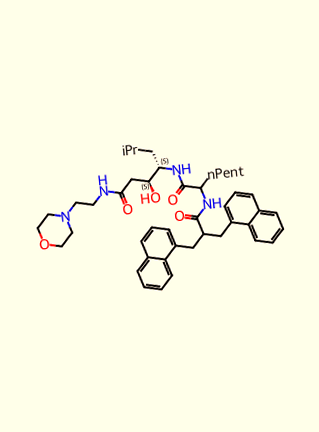 CCCCCC(NC(=O)C(Cc1cccc2ccccc12)Cc1cccc2ccccc12)C(=O)N[C@@H](CC(C)C)[C@@H](O)CC(=O)NCCN1CCOCC1